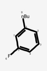 CC[CH]Cc1cccc(F)c1